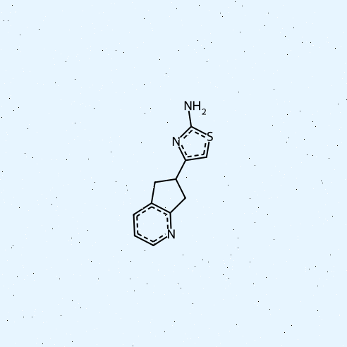 Nc1nc(C2Cc3cccnc3C2)cs1